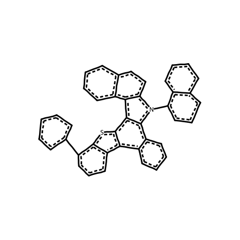 c1ccc(-c2cccc3c2sc2c3c3ccccc3c3c2c2c4ccccc4ccc2n3-c2cccc3ccccc23)cc1